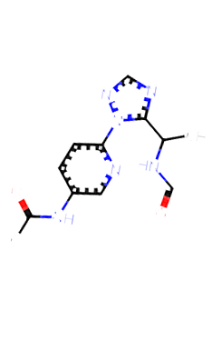 CC(=O)Nc1ccc(-n2ncnc2C(C)NC=O)nc1